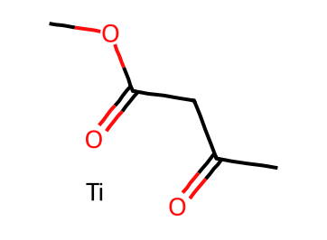 COC(=O)CC(C)=O.[Ti]